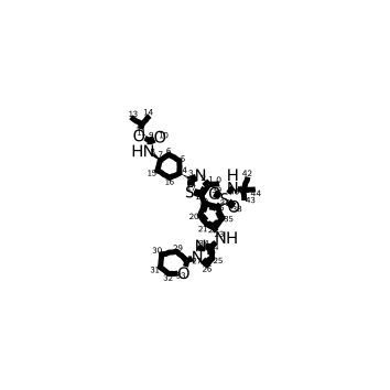 Cc1nc([C@H]2CC[C@H](NC(=O)OC(C)C)CC2)sc1-c1ccc(Nc2ccn(C3CCCCO3)n2)cc1S(=O)(=O)NC(C)(C)C